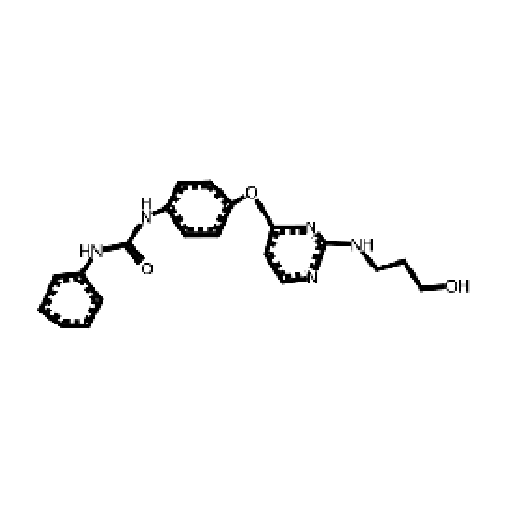 O=C(Nc1ccccc1)Nc1ccc(Oc2ccnc(NCCCO)n2)cc1